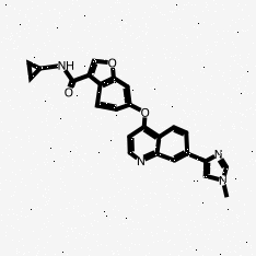 Cn1cnc(-c2ccc3c(Oc4ccc5c(C(=O)NC6CC6)coc5c4)ccnc3c2)c1